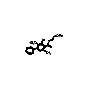 CCc1c(C(=O)SCCOC)c(C)nc(-c2ccccc2)c1C(=O)O